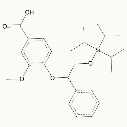 COc1cc(C(=O)O)ccc1OC(CO[Si](C(C)C)(C(C)C)C(C)C)c1ccccc1